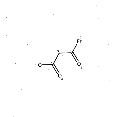 CCC(=O)CC([O])=O